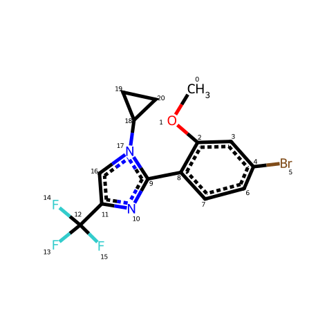 COc1cc(Br)ccc1-c1nc(C(F)(F)F)cn1C1CC1